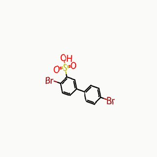 O=S(=O)(O)c1cc(-c2ccc(Br)cc2)ccc1Br